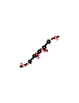 C=CC(=O)OCCCSc1ccc(C#Cc2ccc(OCc3ccc(COc4ccc(C#Cc5ccc(SCCCOC(=O)C=C)cc5)cc4C(=O)OC)cc3)c(C(=O)OC)c2)cc1